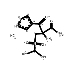 CCCC(CCC)S(=O)(=O)CC(N)(C(N)=O)C(=O)c1cn[nH]c1.Cl